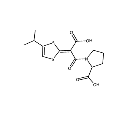 CC(C)C1=CSC(=C(C(=O)O)C(=O)N2CCCC2C(=O)O)S1